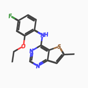 CCOc1cc(F)ccc1Nc1ncnc2cc(C)sc12